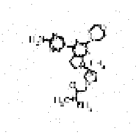 CN(C)C(=O)CN1CC[C@@](C)(N2CCc3c(-c4cnc(N)nc4)nc(N4CCOCC4)nc32)C1